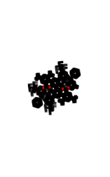 Cc1ccc2c(c1)N(c1ccccc1)c1cc(C(F)(F)F)cc3c1B2c1cc2c(-c4c(C(C)C)cc(C(C)C)cc4C(C)C)cc4c5c(cc6c(-c7c(C(C)C)cc(C(C)C)cc7C(C)C)cc-3c1c6c25)B1c2ccc(C(F)(F)F)cc2N(c2ccccc2)c2cc(C(F)(F)F)cc-4c21